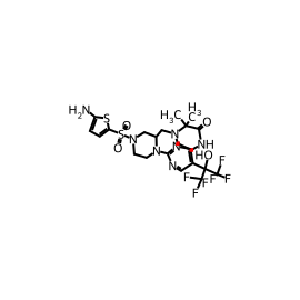 CC1(C)C(=O)NCCN1CC1CN(S(=O)(=O)c2ccc(N)s2)CCN1c1ncc(C(O)(C(F)(F)F)C(F)(F)F)cn1